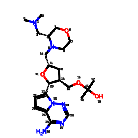 CN(C)C[C@@H]1COCCN1C[C@@H]1C[C@@H](COC(C)(C)O)[C@H](c2ccc3c(N)ncnn23)O1